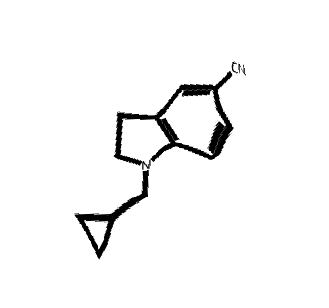 N#Cc1ccc2c(c1)CCN2CC1CC1